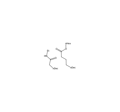 CCCCCCCCCCCC(=O)NCC.CCCCCCCCCCCCCC(=O)OCCCCCC